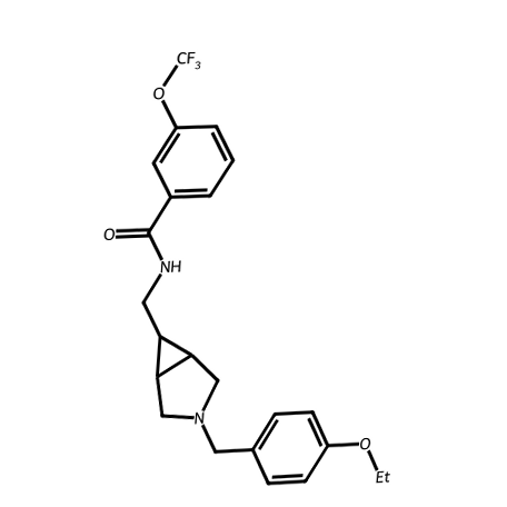 CCOc1ccc(CN2CC3C(CNC(=O)c4cccc(OC(F)(F)F)c4)C3C2)cc1